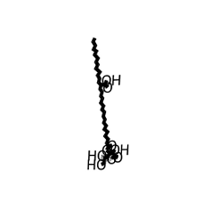 CCCCCCCCCCCCCCC(CCCCCCCCCCCCCCCCCC(=O)OC1=C(O)C(=O)O[C@@H]1[C@@H](O)CO)C(=O)O